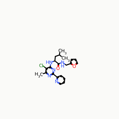 Cc1nc(-c2ccccn2)nc(NC(CC(C)C)C(=O)NCc2ccco2)c1Cl